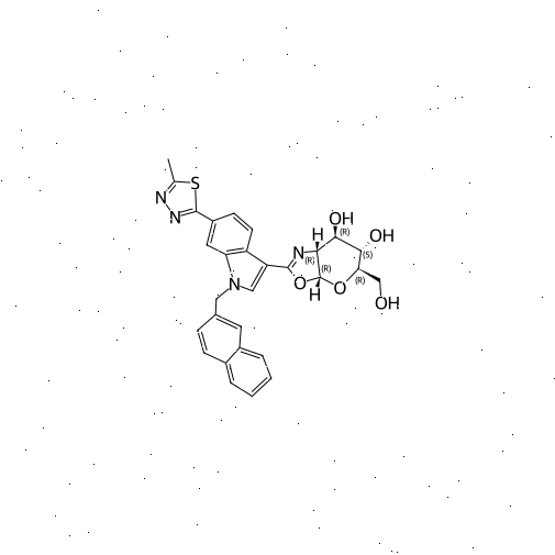 Cc1nnc(-c2ccc3c(C4=N[C@H]5[C@@H](O4)O[C@H](CO)[C@@H](O)[C@@H]5O)cn(Cc4ccc5ccccc5c4)c3c2)s1